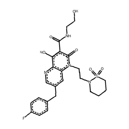 O=C(NCCO)c1c(O)c2ncc(Cc3ccc(F)cc3)cc2n(CCN2CCCCS2(=O)=O)c1=O